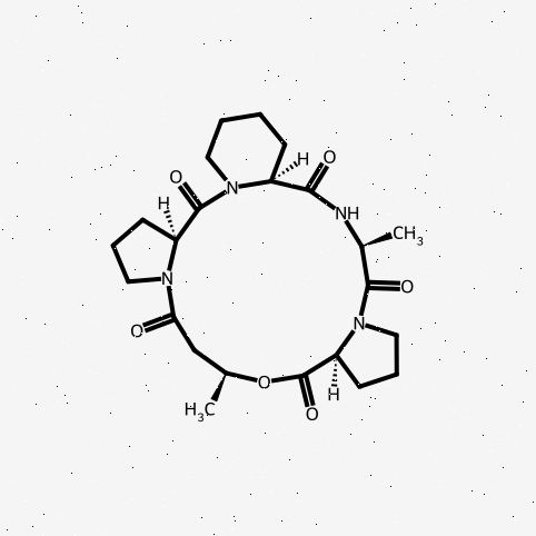 C[C@@H]1NC(=O)[C@@H]2CCCCN2C(=O)[C@@H]2CCCN2C(=O)C[C@H](C)OC(=O)[C@@H]2CCCN2C1=O